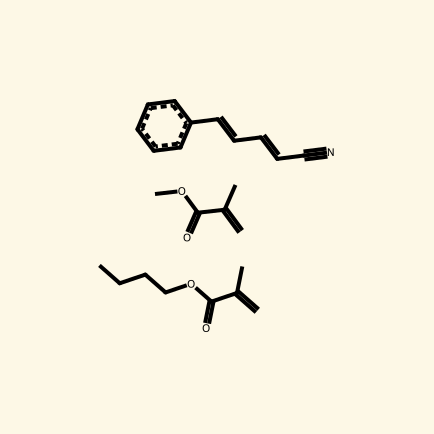 C=C(C)C(=O)OC.C=C(C)C(=O)OCCCC.N#CC=CC=Cc1ccccc1